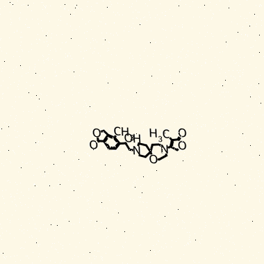 CC1=C(N2CCOC3(CCN(CC(O)c4ccc5c(c4C)COC5=O)CC3)CC2)COC1=O